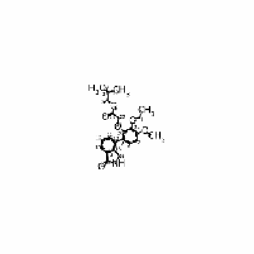 CCOc1c(OC)ccc(-c2cccc3c2CNC3=O)c1OCC(=O)OCC(C)C